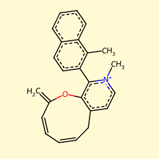 C=C1/C=C\C=C/Cc2cc[n+](C)c(-c3ccc4ccccc4c3C)c2O1